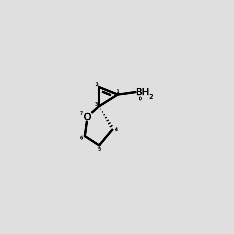 BC1=C[C@@]12CCCO2